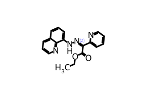 CCOC(=O)/C(=N\Nc1cccc2cccnc12)c1ccccn1